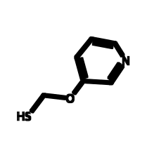 SCOc1cccnc1